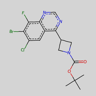 CC(C)(C)OC(=O)N1CC(c2ncnc3c(F)c(Br)c(Cl)cc23)C1